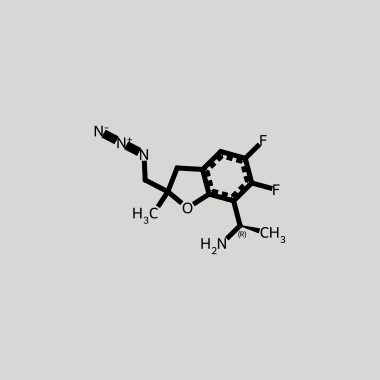 C[C@@H](N)c1c(F)c(F)cc2c1OC(C)(CN=[N+]=[N-])C2